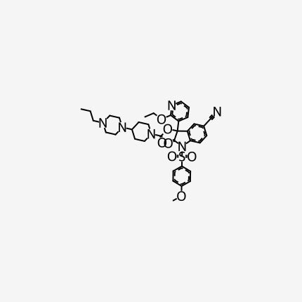 CCCN1CCN(C2CCN(C(=O)OC3(c4cccnc4OCC)C(=O)N(S(=O)(=O)c4ccc(OC)cc4)c4ccc(C#N)cc43)CC2)CC1